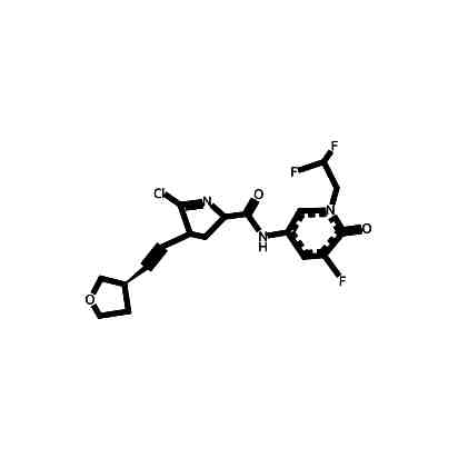 O=C(Nc1cc(F)c(=O)n(CC(F)F)c1)C1CC(C#C[C@H]2CCOC2)C(Cl)=N1